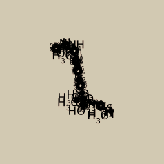 Cc1ncsc1-c1ccc(CNC(=O)[C@@H]2C[C@@H](O)CN2C(=O)[C@@H](NC(=O)[C@H]2CCC3(CC2)C[C@H](N2CCN(c4cnc(N5CCC6Nc7nnc(-c8ccccc8O)cc7C6[C@H]5C)nc4)CC2)C3)C(C)(C)C)cc1